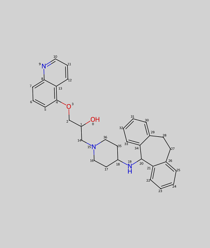 OC(COc1cccc2ncccc12)CN1CCC(NC2c3ccccc3CCc3ccccc32)CC1